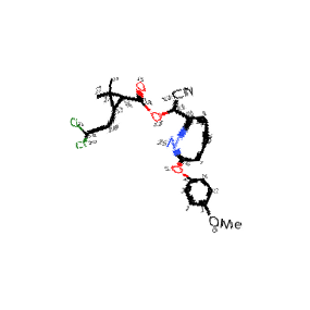 COc1ccc(Oc2cccc(C(C#N)OC(=O)C3C(C=C(Cl)Cl)C3(C)C)n2)cc1